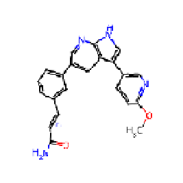 COc1ccc(-c2c[nH]c3ncc(-c4cccc(/C=C/C(N)=O)c4)cc23)cn1